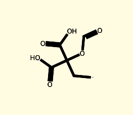 [CH2]CC(OC=O)(C(=O)O)C(=O)O